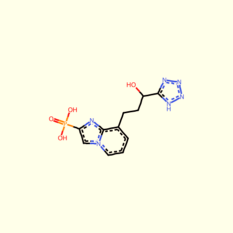 O=P(O)(O)c1cn2cccc(CCC(O)c3nnn[nH]3)c2n1